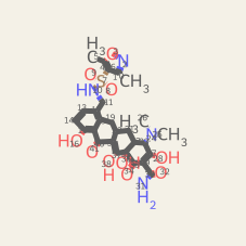 Cc1noc(C)c1S(=O)(=O)NCc1ccc(O)c2c1CC1CC3C(N(C)C)C(O)=C(C(N)=O)C(=O)C3(O)C(O)=C1C2=O